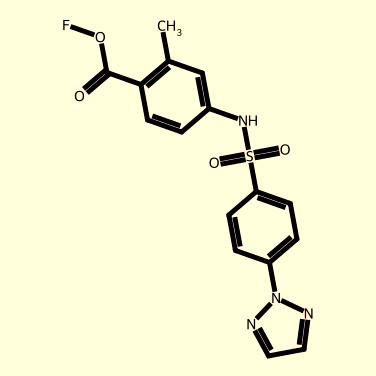 Cc1cc(NS(=O)(=O)c2ccc(-n3nccn3)cc2)ccc1C(=O)OF